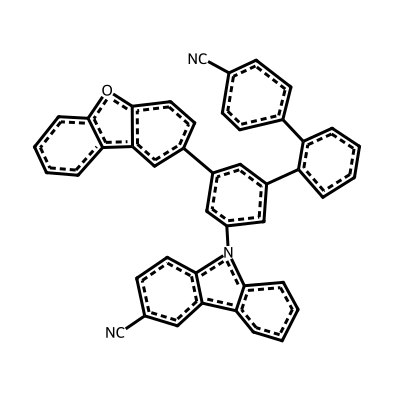 N#Cc1ccc(-c2ccccc2-c2cc(-c3ccc4oc5ccccc5c4c3)cc(-n3c4ccccc4c4cc(C#N)ccc43)c2)cc1